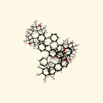 [2H]c1c([2H])c([2H])c(-c2cccc(-c3c([2H])c([2H])c([2H])c([2H])c3[2H])c2NC2(c3cccc(Oc4ccc5c6ccccc6n(-c6cc7c(cn6)c6ccccc6n7-c6c(-c7c([2H])c([2H])c8c(c7[2H])C(C([2H])([2H])[2H])(C([2H])([2H])[2H])C([2H])([2H])C([2H])([2H])C8(C([2H])([2H])[2H])C([2H])([2H])[2H])cccc6-c6c([2H])c([2H])c7c(c6[2H])C(C([2H])([2H])[2H])(C([2H])([2H])[2H])C([2H])([2H])C([2H])([2H])C7(C([2H])([2H])[2H])C([2H])([2H])[2H])c5c4)c3)C=CC=CC2N)c([2H])c1[2H]